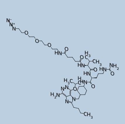 CCCCc1nc2c(N)nnc(OC(C)C)c2n1CC1CCC(NC(=O)[C@H](CCCNC(N)=O)NC(=O)[C@@H](NC(=O)CCCC(=O)NCCOCCOCCOCCN=[N+]=[N-])C(C)C)CC1